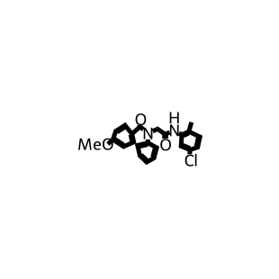 COc1ccc(C(=O)N(CC(=O)Nc2cc(Cl)ccc2C)c2ccccc2)cc1